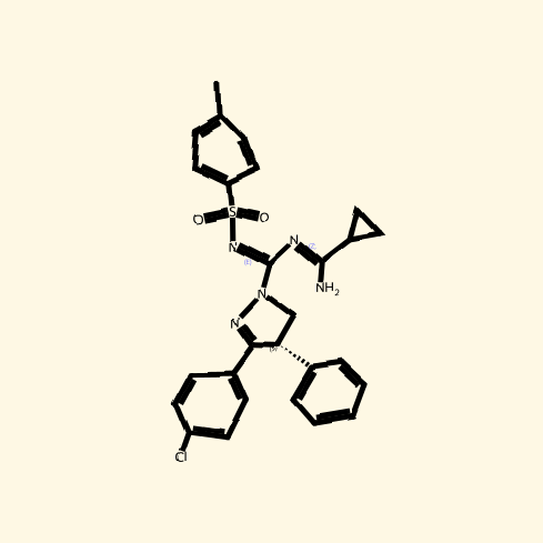 Cc1ccc(S(=O)(=O)/N=C(\N=C(/N)C2CC2)N2C[C@H](c3ccccc3)C(c3ccc(Cl)cc3)=N2)cc1